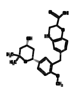 COc1ccc([C@H]2C[C@@H](O)CC(C)(C)O2)cc1Cc1ccc2c(c1)NCC(C(=O)O)O2